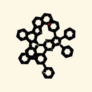 c1ccc(-c2c(-c3ccccc3)n(-c3ccccc3)c3nc(-c4cc(-c5ccccn5)cc(-c5ccccn5)c4)c(-n4c5ccccc5c5c6ccccc6c6c7ccc8ccccc8c7sc6c54)nc23)cc1